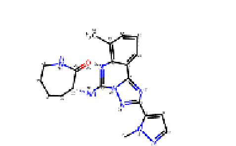 Cn1nccc1-c1nc2c3cccc(C(F)(F)F)c3nc(N[C@@H]3CCCCNC3=O)n2n1